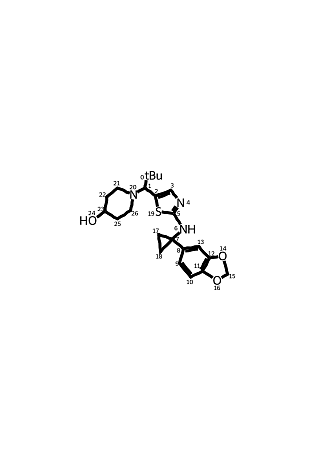 CC(C)(C)C(c1cnc(NC2(c3ccc4c(c3)OCO4)CC2)s1)N1CCC(O)CC1